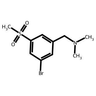 CN(C)Cc1cc(Br)cc(S(C)(=O)=O)c1